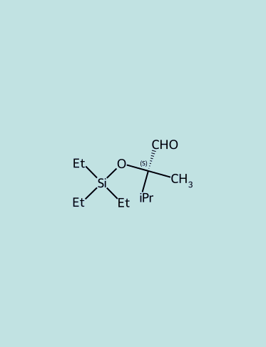 CC[Si](CC)(CC)O[C@](C)(C=O)C(C)C